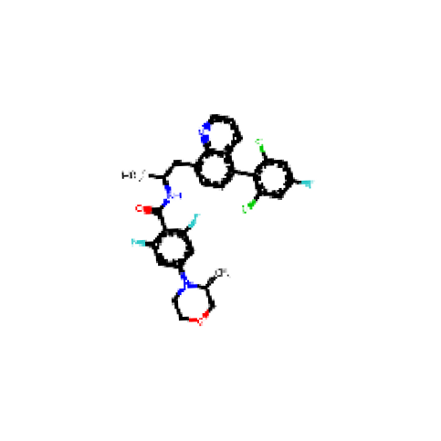 O=C(NC(Cc1ccc(-c2c(Cl)cc(F)cc2Cl)c2cccnc12)C(=O)O)c1c(F)cc(N2CCOCC2C(F)(F)F)cc1F